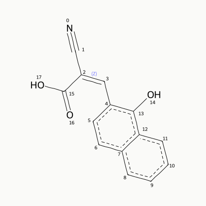 N#C/C(=C/c1ccc2ccccc2c1O)C(=O)O